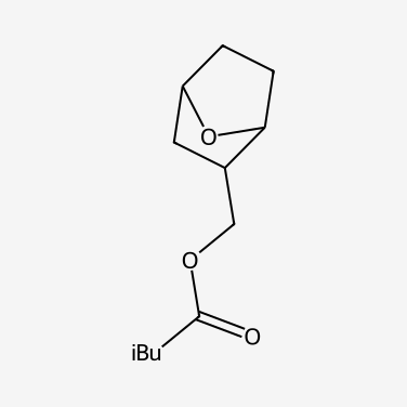 CCC(C)C(=O)OCC1CC2CCC1O2